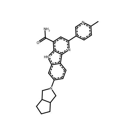 Cc1ccc(-c2cc(C(N)=O)c3[nH]c4cc(N5CC6CCCC6C5)ccc4c3n2)cn1